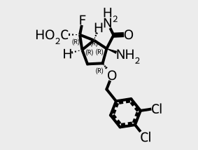 NC(=O)[C@@]1(N)[C@H]2[C@@H](C[C@H]1OCc1ccc(Cl)c(Cl)c1)[C@]2(F)C(=O)O